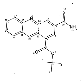 CC(C)(C)OC(=O)c1cc(C(N)=S)cc2nc3ccccc3cc12